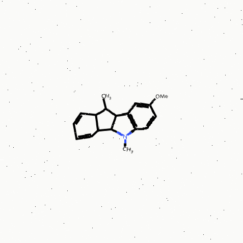 COc1ccc2c(c1)C1C(C)C3C=CC=CC3C1N2C